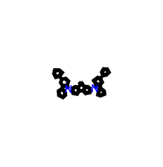 CC1(C)c2cc(-n3c4c(c5ccccc53)CC(c3ccccc3)C=C4)ccc2-c2ccc(-n3c4ccccc4c4cc(-c5ccccc5)ccc43)cc21